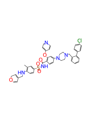 Cc1cc(S(=O)(=O)NC(=O)c2ccc(N3CCN(Cc4ccccc4-c4ccc(Cl)cc4)CC3)cc2Oc2ccncc2)ccc1NCC1=CCOC=C1